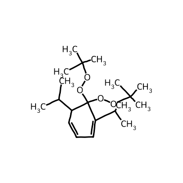 CC(C)C1=CC=CC(C(C)C)C1(OOC(C)(C)C)OOC(C)(C)C